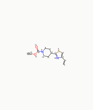 C=Cc1csc(C2CCN(C(=O)OC(C)(C)C)CC2)n1